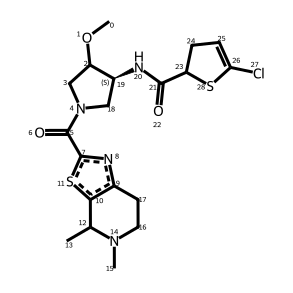 COC1CN(C(=O)c2nc3c(s2)C(C)N(C)CC3)C[C@@H]1NC(=O)C1CC=C(Cl)S1